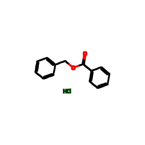 Cl.O=C(OCc1ccccc1)c1ccccc1